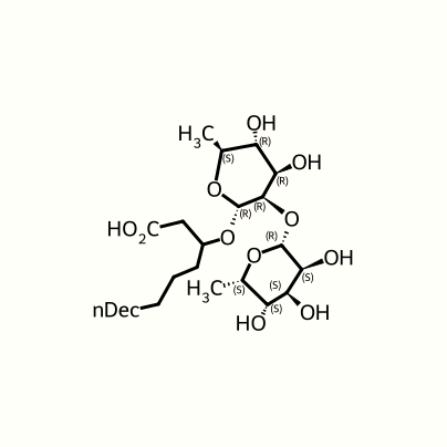 CCCCCCCCCCCCCC(CC(=O)O)O[C@@H]1O[C@@H](C)[C@H](O)[C@@H](O)[C@H]1O[C@H]1O[C@@H](C)[C@@H](O)[C@H](O)[C@@H]1O